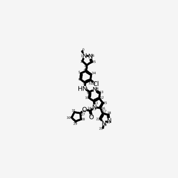 CN1CC(c2ccc(Nc3cc4c(cn3)cc(-c3cnn(C)c3)n4C(=O)OC3CCCC3)c(Cl)c2)C=N1